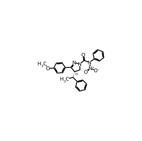 COc1ccc(C2=NN(C(=O)N(c3ccccc3)[N+](=O)[O-])C[C@@H]2C(C)c2ccccc2)cc1